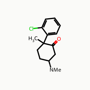 CNC1CCC(C)(c2ccccc2Cl)C(=O)C1